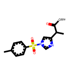 COC(=O)C(C)c1cn(S(=O)(=O)c2ccc(C)cc2)cn1